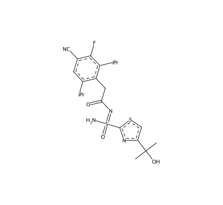 CC(C)c1cc(C#N)c(F)c(C(C)C)c1CC(=O)N=S(N)(=O)c1nc(C(C)(C)O)cs1